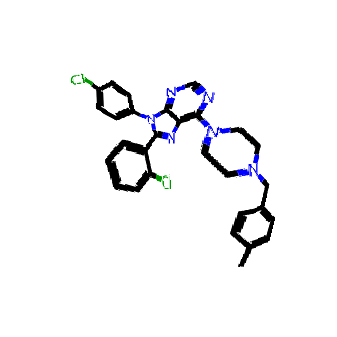 Cc1ccc(CN2CCN(c3ncnc4c3nc(-c3ccccc3Cl)n4-c3ccc(Cl)cc3)CC2)cc1